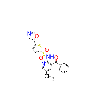 Cc1cnc(NS(=O)(=O)c2ccc(C3CN=CO3)s2)c(C(=O)c2ccccc2)c1